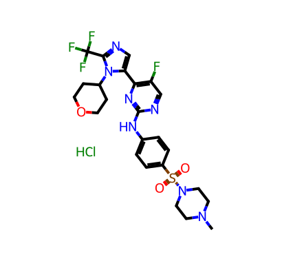 CN1CCN(S(=O)(=O)c2ccc(Nc3ncc(F)c(-c4cnc(C(F)(F)F)n4C4CCOCC4)n3)cc2)CC1.Cl